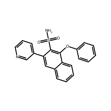 NS(=O)(=O)c1c(-c2cccnc2)cc2ccccc2c1Oc1ccccc1